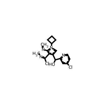 C=Nc1c(/C(Cl)=N\C)c(C(O)c2cc(Cl)ccn2)cn1C1CCC1